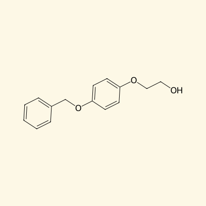 OCCOc1ccc(OCc2ccccc2)cc1